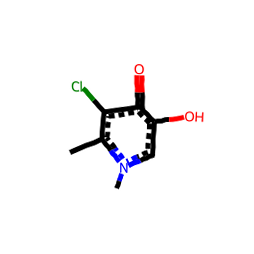 Cc1c(Cl)c(=O)c(O)cn1C